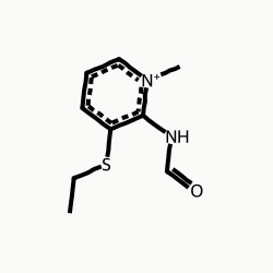 CCSc1ccc[n+](C)c1NC=O